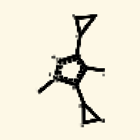 Cc1c(C2CC2)nn(C)c1C1CC1